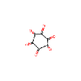 O=C1C(=O)C(=O)C(=O)C(=O)C1=O